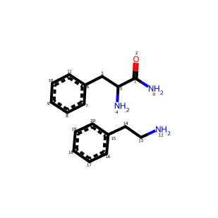 NC(=O)C(N)Cc1ccccc1.NCCc1ccccc1